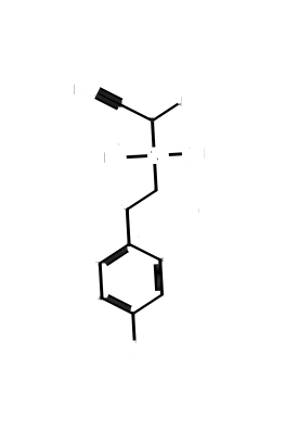 C#CC(I)[N+](C)(C)CCc1ccc(Cl)cc1.[Cl-]